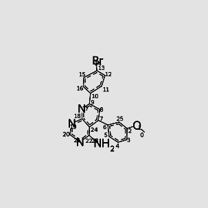 COc1cccc(-c2cc(-c3ccc(Br)cc3)nc3ncnc(N)c23)c1